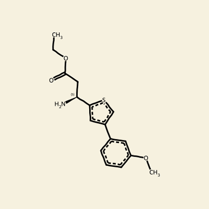 CCOC(=O)C[C@H](N)c1cc(-c2cccc(OC)c2)cs1